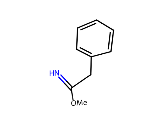 COC(=N)Cc1ccccc1